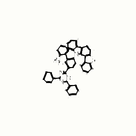 O=[N+]([O-])c1ccccc1-c1cc(-c2nc(-c3ccccc3)nc(-c3ccccc3)n2)ccc1-n1c2ccccc2c2ccc3sc4ccccc4c3c21